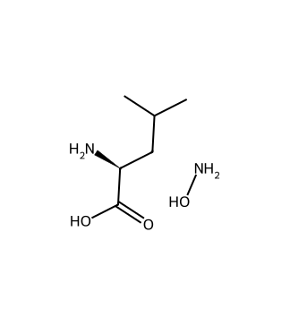 CC(C)C[C@H](N)C(=O)O.NO